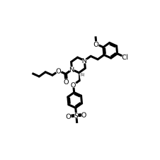 CCCCOC(=O)N1CCN(CCc2cc(Cl)ccc2OC)C[C@H]1COc1ccc(S(C)(=O)=O)cc1